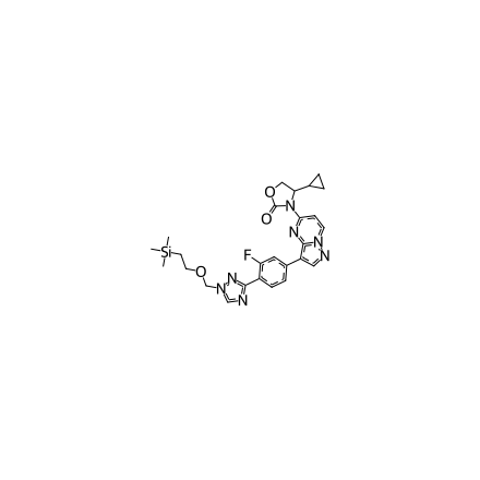 C[Si](C)(C)CCOCn1cnc(-c2ccc(-c3cnn4ccc(N5C(=O)OCC5C5CC5)nc34)cc2F)n1